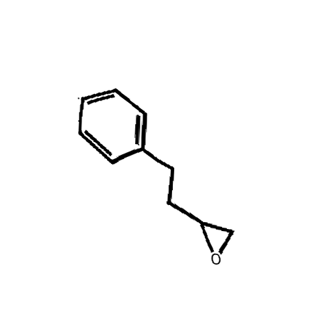 [c]1ccc(CCC2CO2)cc1